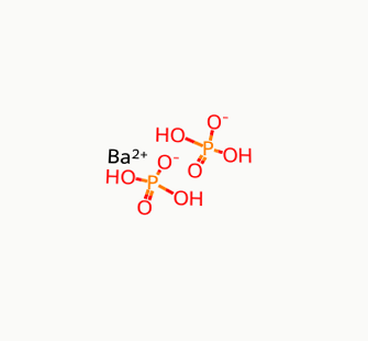 O=P([O-])(O)O.O=P([O-])(O)O.[Ba+2]